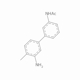 CC(=O)Nc1cccc(-c2ccc(C)c(N)c2)c1